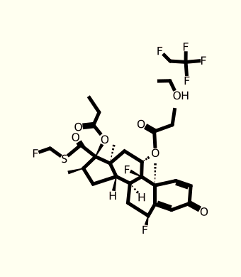 CCC(=O)O[C@H]1C[C@@]2(C)[C@@H](C[C@@H](C)[C@]2(OC(=O)CC)C(=O)SCF)[C@@H]2C[C@H](F)C3=CC(=O)C=C[C@]3(C)[C@@]12F.CCO.FCC(F)(F)F